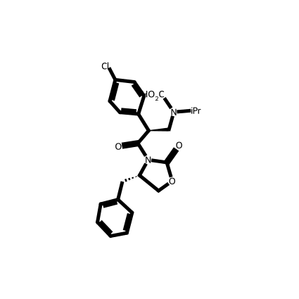 CC(C)N(C[C@@H](C(=O)N1C(=O)OC[C@@H]1Cc1ccccc1)c1ccc(Cl)cc1)C(=O)O